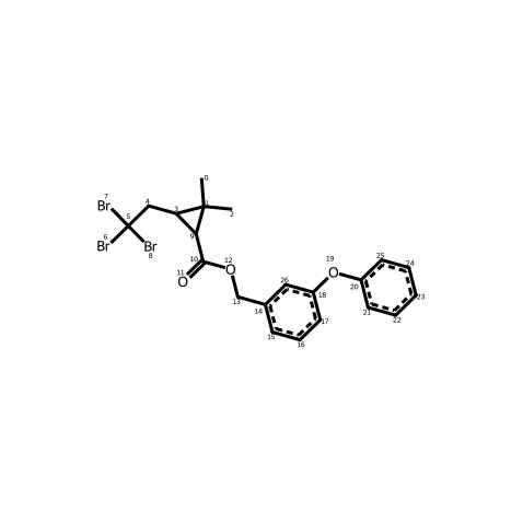 CC1(C)C(CC(Br)(Br)Br)C1C(=O)OCc1cccc(Oc2ccccc2)c1